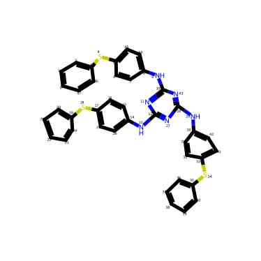 c1ccc(Sc2ccc(Nc3nc(Nc4ccc(Sc5ccccc5)cc4)nc(Nc4ccc(Sc5ccccc5)cc4)n3)cc2)cc1